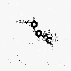 Cc1[nH]c(=O)ccc1C(O)(C(C)c1ccc(Oc2ccc(F)c(OCC(=O)O)c2)cc1Cl)C(F)(F)F